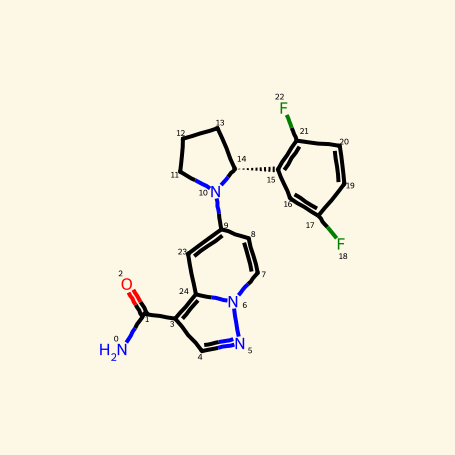 NC(=O)c1cnn2ccc(N3CCC[C@@H]3c3cc(F)ccc3F)cc12